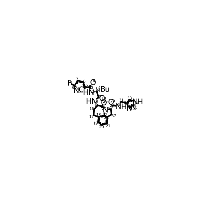 CC[C@H](C)[C@H](NC(=O)c1ccc(F)nc1)C(=O)N[C@H]1CCc2cccc3c2N(C1=O)[C@H](C(=O)NCc1c[nH]nn1)C3